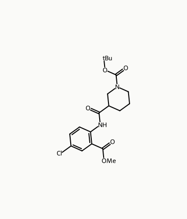 COC(=O)c1cc(Cl)ccc1NC(=O)C1CCCN(C(=O)OC(C)(C)C)C1